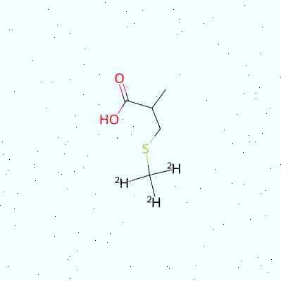 [2H]C([2H])([2H])SCC(C)C(=O)O